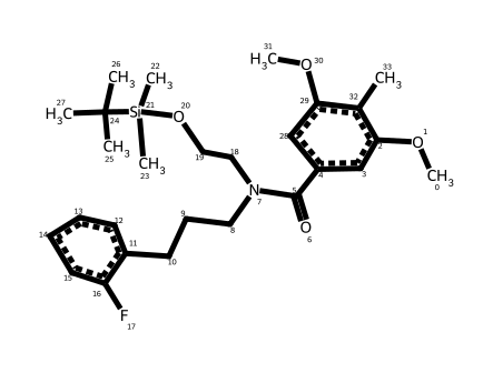 COc1cc(C(=O)N(CCCc2ccccc2F)CCO[Si](C)(C)C(C)(C)C)cc(OC)c1C